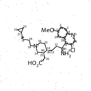 COc1ccc2ncc(Cl)c([C@@H](N)CC[C@@H]3CCN(CCSC4CC4)C[C@@H]3CC(=O)O)c2c1